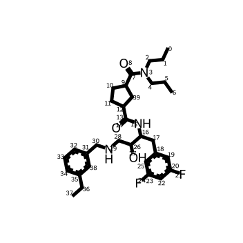 CCCN(CCC)C(=O)C1CCC(C(=O)NC(Cc2cc(F)cc(F)c2)C(O)CNCc2cccc(CC)c2)C1